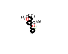 COc1c(C(=O)Cc2ccccc2Cl)ccc2c1C=CC(C)(C)O2